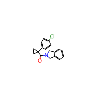 O=C(N1Cc2ccccc2C1)C1(c2ccc(Cl)cc2)CC1